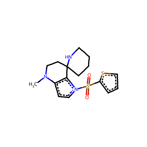 CN1CCC2(CCCCN2)c2c1ccn2S(=O)(=O)c1cccs1